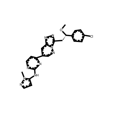 CO[C@@H](Cc1nnc2cc(-c3ccnc(Nc4ccnn4C)n3)cnn12)c1ccc(Cl)cc1